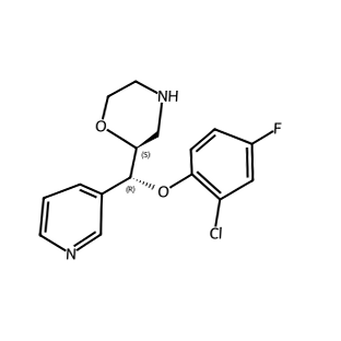 Fc1ccc(O[C@H](c2cccnc2)[C@@H]2CNCCO2)c(Cl)c1